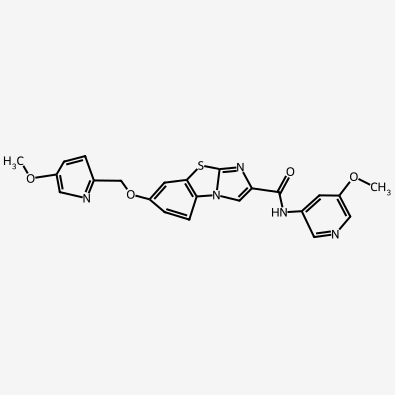 COc1ccc(COc2ccc3c(c2)sc2nc(C(=O)Nc4cncc(OC)c4)cn23)nc1